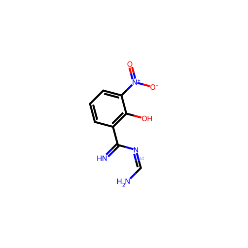 N=C(/N=C\N)c1cccc([N+](=O)[O-])c1O